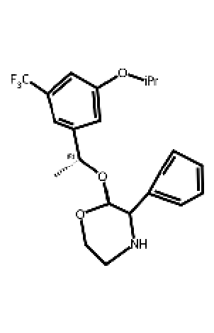 CC(C)Oc1cc([C@@H](C)OC2OCCNC2c2ccccc2)cc(C(F)(F)F)c1